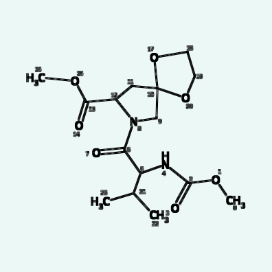 COC(=O)NC(C(=O)N1CC2(CC1C(=O)OC)OCCO2)C(C)C